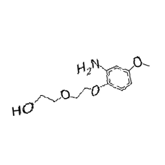 COc1ccc(OCCOCCO)c(N)c1